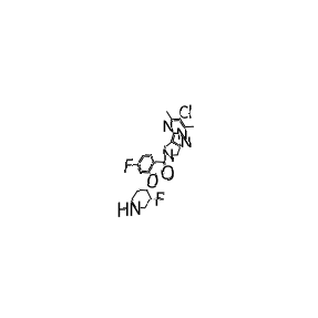 Cc1nc2c3c(nn2c(C)c1Cl)CN(C(=O)c1ccc(F)cc1O[C@H]1CCNC[C@H]1F)C3